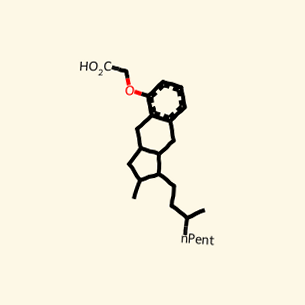 CCCCCC(C)CCC1C(C)CC2Cc3c(cccc3OCC(=O)O)CC21